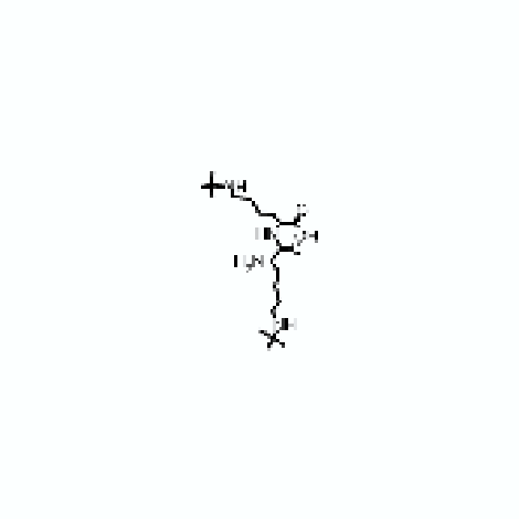 CC(C)(C)NCCCCC(NC(=O)[C@@H](N)CCCCNC(C)(C)C)C(=O)O